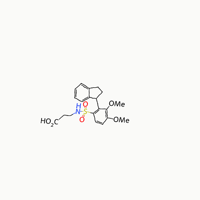 COc1ccc(S(=O)(=O)NCCC(=O)O)c(C2CCc3ccccc32)c1OC